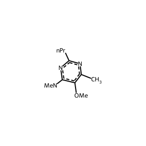 CCCc1nc(C)c(OC)c(NC)n1